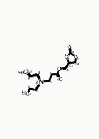 O=C(CCN(CCO)CCO)OCC1COC(=O)O1